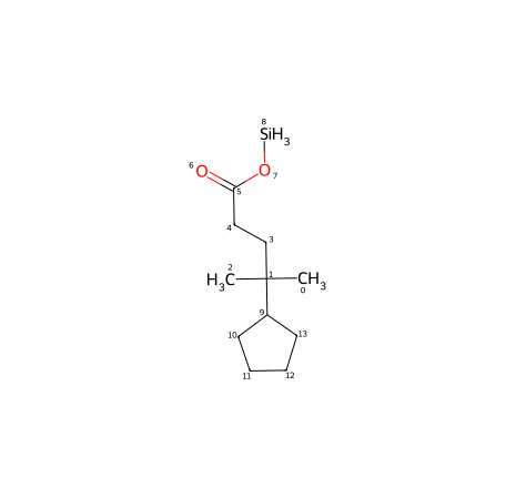 CC(C)(CCC(=O)O[SiH3])C1CCCC1